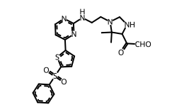 CC1(C)C(C(=O)C=O)NCN1CCNc1nccc(-c2ccc(S(=O)(=O)c3ccccc3)s2)n1